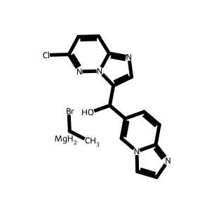 CCBr.OC(c1ccc2nccn2c1)c1cnc2ccc(Cl)nn12.[MgH2]